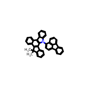 CC1(C)c2ccccc2-c2c1c1ccccc1c1c3ccccc3n(-c3ccc4c5c(cccc35)-c3ccccc3-4)c21